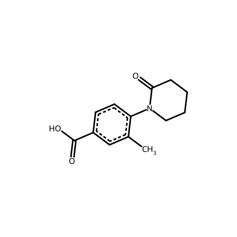 Cc1cc(C(=O)O)ccc1N1CCCCC1=O